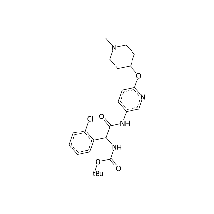 CN1CCC(Oc2ccc(NC(=O)C(NC(=O)OC(C)(C)C)c3ccccc3Cl)cn2)CC1